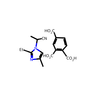 CCc1nc(C)cn1C(C)C#N.O=C(O)c1ccc(C(=O)O)c(C(=O)O)c1